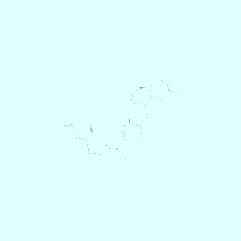 C=C/C(=C\C=C/C)C(C)CNC(=O)C(/C=C\C(Nc1nccc2ccc(Cl)cc12)=C(C)C)=C/C